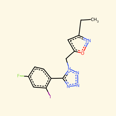 CCc1cc(Cn2nnnc2-c2ccc(F)cc2I)on1